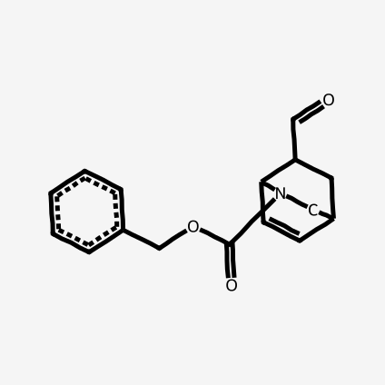 O=CC1CC2C=CC1N(C(=O)OCc1ccccc1)C2